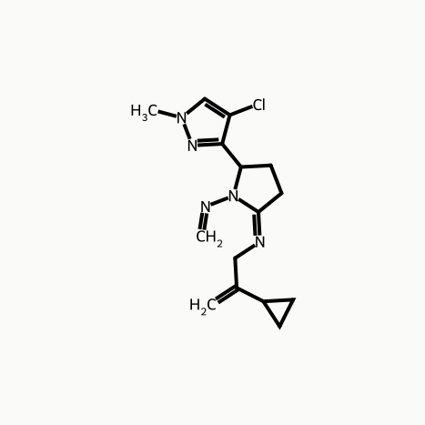 C=NN1/C(=N\CC(=C)C2CC2)CCC1c1nn(C)cc1Cl